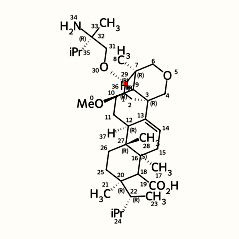 CO[C@@H]1C[C@@]23COC[C@@](C)([C@@H]2CC[C@H]2C3=CC[C@@]3(C)C(C(=O)O)[C@@](C)([C@H](C)C(C)C)CC[C@]23C)[C@H]1OC[C@](C)(N)C(C)C